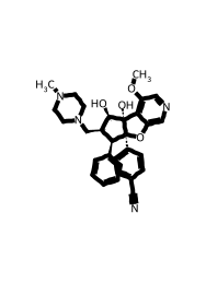 COc1cncc2c1[C@]1(O)[C@H](O)[C@H](CN3CCN(C)CC3)[C@H](c3ccccc3)[C@]1(c1ccc(C#N)cc1)O2